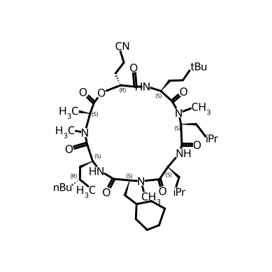 CCCC[C@@H](C)C[C@@H]1NC(=O)[C@H](CC2CCCCC2)N(C)C(=O)[C@H](CC(C)C)NC(=O)[C@H](CC(C)C)N(C)C(=O)[C@H](CCC(C)(C)C)NC(=O)[C@@H](CCC#N)OC(=O)[C@H](C)N(C)C1=O